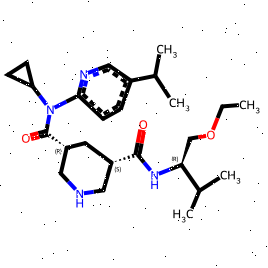 CCOC[C@H](NC(=O)[C@@H]1CNC[C@H](C(=O)N(c2ccc(C(C)C)cn2)C2CC2)C1)C(C)C